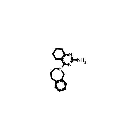 Nc1nc2c(c(N3CCCc4ccccc4C3)n1)CCCC2